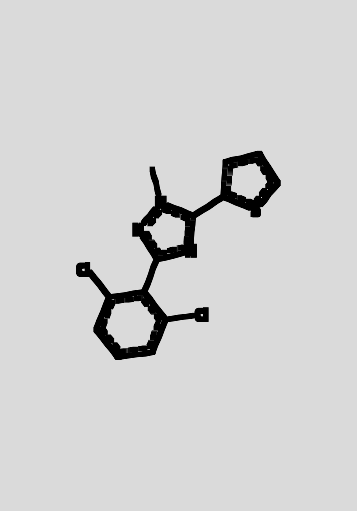 Cn1nc(-c2c(Cl)cccc2Cl)nc1-c1cccs1